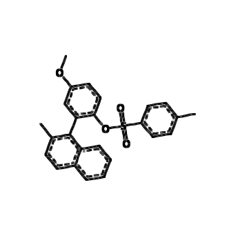 COc1ccc(OS(=O)(=O)c2ccc(C)cc2)c(-c2c(C)ccc3ccccc23)c1